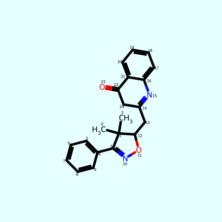 CC1(C)C(c2ccccc2)=NOC1CC1=Nc2ccccc2C(=O)C1